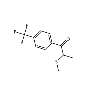 CSC(C)C(=O)c1ccc(C(F)(F)F)cc1